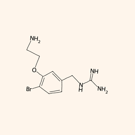 N=C(N)NCc1ccc(Br)c(OCCN)c1